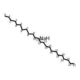 CCCCCCCCCCCCCCCCCCCCCCCC.[NaH]